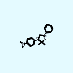 CN(C)c1ccc([C@H]2C[C@@H](c3ccccc3)NC2(C)C)cc1